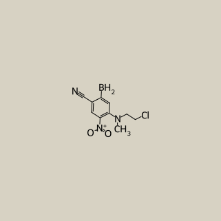 Bc1cc(N(C)CCCl)c([N+](=O)[O-])cc1C#N